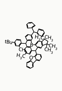 Cc1cc2c3c(c1)C(c1cccc4c1oc1ccccc14)c1cc4c(cc1B3c1cc(C(c3ccccc3)c3ccccc3)ccc1C2c1ccc(C(C)(C)C)cc1C)C(C)(C)CC4(C)C